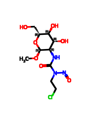 CO[C@H]1O[C@H](CO)[C@@H](O)[C@H](O)[C@H]1NC(=O)N(CCCl)N=O